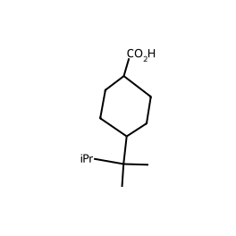 CC(C)C(C)(C)C1CCC(C(=O)O)CC1